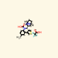 Cc1ccc(N(C[C@H]2C[C@H]3CC[C@@H](C2)N3)C(=O)O)c(-c2ccsc2)c1.O=C(O)C(F)(F)F